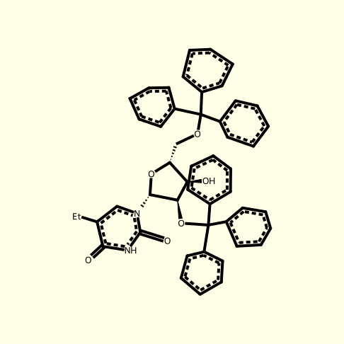 CCc1cn([C@@H]2O[C@H](COC(c3ccccc3)(c3ccccc3)c3ccccc3)[C@@H](O)[C@H]2OC(c2ccccc2)(c2ccccc2)c2ccccc2)c(=O)[nH]c1=O